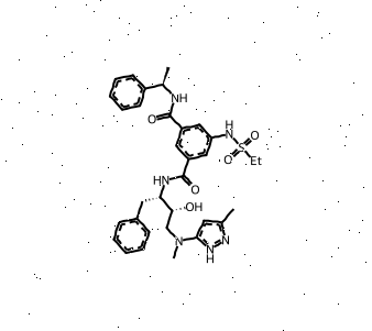 CCS(=O)(=O)Nc1cc(C(=O)N[C@@H](Cc2ccccc2)[C@H](O)CN(C)c2cc(C)n[nH]2)cc(C(=O)N[C@H](C)c2ccccc2)c1